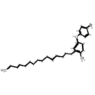 CCCCCCCCCCCCCCCc1cc(Oc2ccc(Br)cc2)ccc1C